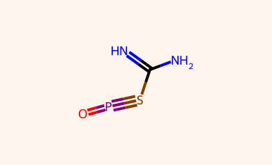 N=C(N)S#P=O